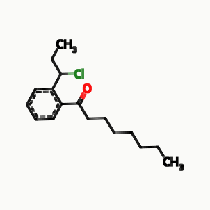 CCCCCCCC(=O)c1ccccc1C(Cl)CC